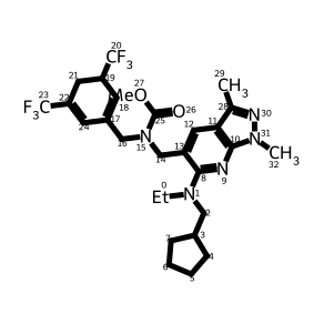 CCN(CC1CCCC1)c1nc2c(cc1CN(CC1=CC(C(F)(F)F)CC(C(F)(F)F)=C1)C(=O)OC)c(C)nn2C